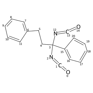 O=C=NC(CCc1ccccc1)(N=C=O)c1ccccc1